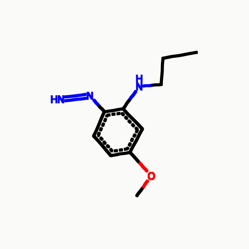 CCCNc1cc(OC)ccc1N=N